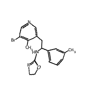 Cc1cccc(C(Cc2cncc(Br)c2C)NC2=NCCO2)c1